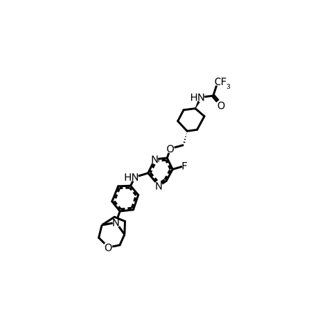 O=C(N[C@H]1CC[C@H](COc2nc(Nc3ccc(N4C5CCC4COC5)cc3)ncc2F)CC1)C(F)(F)F